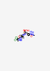 CCNC(=O)Nc1cccc(Cc2nc(N3C[C@@H]4[C@H](C3)[C@@H]4NC(=O)c3[nH]c(C)c(Cl)c3Cl)sc2C(=O)O)c1